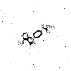 Nc1ncnc2c1c(I)nn2[C@H]1CC[C@@H](NC(=O)O)CC1